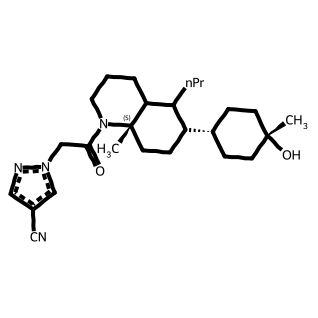 CCCC1C2CCCN(C(=O)Cn3cc(C#N)cn3)[C@@]2(C)CCC1[C@H]1CC[C@@](C)(O)CC1